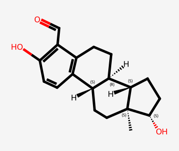 C[C@]12CC[C@@H]3c4ccc(O)c(C=O)c4CC[C@H]3[C@@H]1CC[C@@H]2O